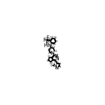 Cn1nccc1-c1nnc(N2CCC(Nc3ccccc3C(F)(F)F)CC2)c2c1CCC2